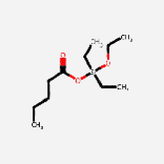 CCCCC(=O)O[Si](CC)(CC)OCC